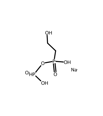 O=[PH](O)OP(=O)(O)CCO.[Na]